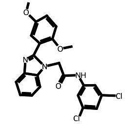 COc1ccc(OC)c(-c2nc3ccccc3n2CC(=O)Nc2cc(Cl)cc(Cl)c2)c1